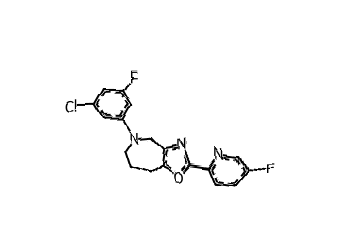 Fc1ccc(-c2nc3c(o2)CCCN(c2cc(F)cc(Cl)c2)C3)nc1